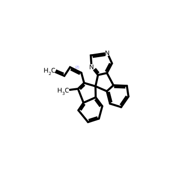 C=C/C=C\C1=C(C)c2ccccc2C12c1ccccc1-c1cncnc12